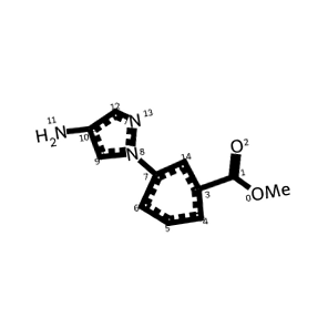 COC(=O)c1cccc(-n2cc(N)cn2)c1